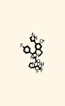 COc1cc2c(cc1-c1ccn(C)n1)-c1c(-c3ccc(F)cc3)nc(C(=O)N3CCC[C@@]3(C)[C@@H](O)C(F)(F)F)n1CC2